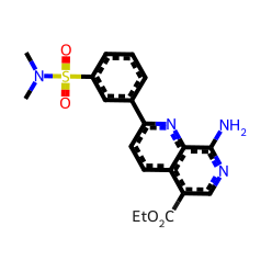 CCOC(=O)c1cnc(N)c2nc(-c3cccc(S(=O)(=O)N(C)C)c3)ccc12